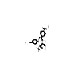 CC(C)(O)c1ccc(S(=O)(=O)Nc2ccc(Cl)cc2-n2nnc3ncccc32)cc1